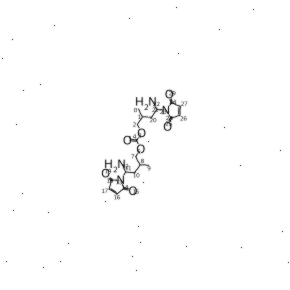 CC(COC(=O)OCC(C)CC(N)N1C(=O)C=CC1=O)CC(N)N1C(=O)C=CC1=O